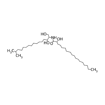 CCCCCCCCCCCCCCCCC(O)C(=O)NC(CO)C(O)CCCCCCCCCCCC(C)C